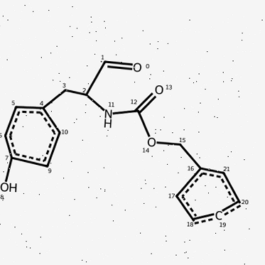 O=[C]C(Cc1ccc(O)cc1)NC(=O)OCc1ccccc1